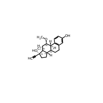 C#C[C@]1(O)CC[C@H]2[C@@H]3CCc4cc(O)ccc4[C@H]3[C@H](OC)C[C@@]21C